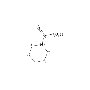 CCOC(=O)C(=O)N1CCCCC1